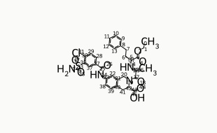 CCOC(=O)[C@H](CCc1ccccc1)N[C@@H](C)C(=O)N1Cc2cc(NC(=O)c3ccc(Cl)c(S(N)(=O)=O)c3)ccc2CC1C(=O)O